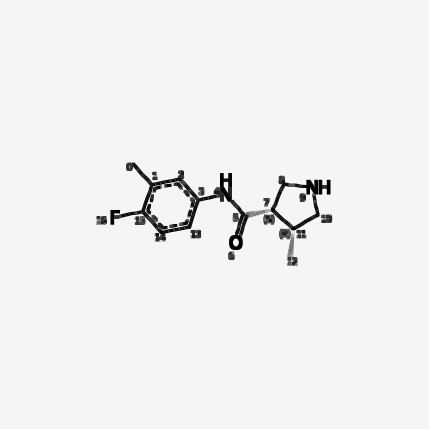 Cc1cc(NC(=O)[C@@H]2CNC[C@@H]2C)ccc1F